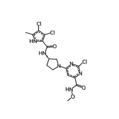 CONC(=O)c1cc(N2CC[C@@H](NC(=O)c3[nH]c(C)c(Cl)c3Cl)C2)nc(Cl)n1